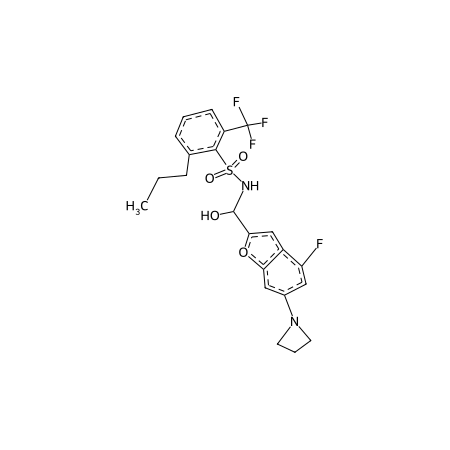 CCCc1cccc(C(F)(F)F)c1S(=O)(=O)NC(O)c1cc2c(F)cc(N3CCC3)cc2o1